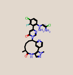 CC1CCCC(n2cnc(-c3c(N(N)/C=C(\N)Cl)ccc(Cl)c3F)cc2=O)c2cc(ccn2)-c2c(cnn2C)NC1=O